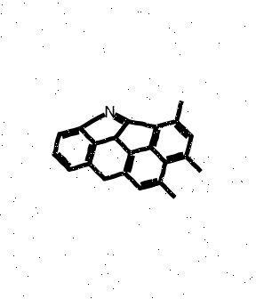 Cc1cc(C)c2c(C)cc3c4c2c1C1=Nc2cccc(c2C14)C3